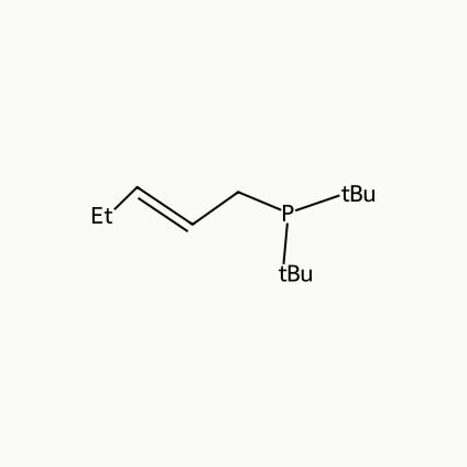 CCC=CCP(C(C)(C)C)C(C)(C)C